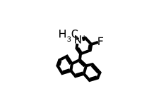 C[n+]1cc(F)cc(-c2c3ccccc3cc3ccccc23)c1